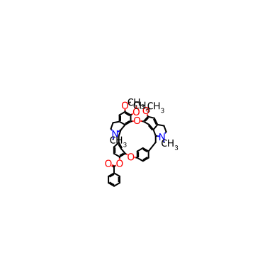 COc1cc2c3cc1Oc1c(OC)c(OC)cc4c1C(Cc1ccc(OC(=O)c5ccccc5)c(c1)Oc1ccc(cc1)CC3N(C)CC2)N(C)CC4